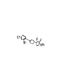 CCCc1ccc(C2CCC(c3ccc(CC)cc3F)CC2)c(F)c1F